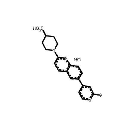 Cl.O=C(O)C1CCN(c2ccc3cc(-c4ccnc(F)c4)ccc3n2)CC1